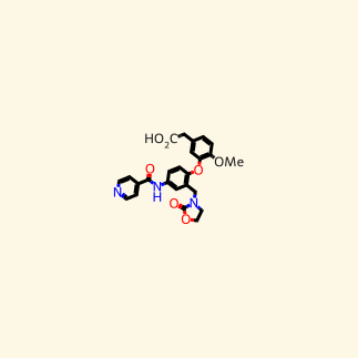 COc1ccc(CC(=O)O)cc1Oc1ccc(NC(=O)c2ccncc2)cc1CN1CCOC1=O